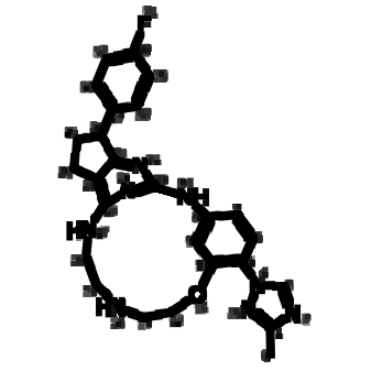 Cc1ncn(-c2ccc3cc2OCCNCCNc2nc(nc4c2CCC4c2ccc(F)cc2)N3)n1